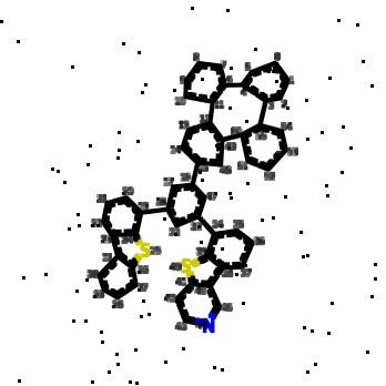 c1ccc2c(c1)-c1ccccc1-c1ccc(-c3cc(-c4cccc5c4sc4ccccc45)cc(-c4cccc5c4sc4ccncc45)c3)cc1-c1ccccc1-2